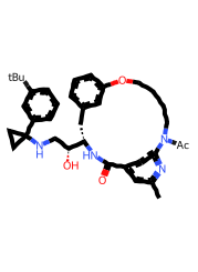 CC(=O)N1CCCCOc2cccc(c2)C[C@@H]([C@H](O)CNC2(c3cccc(C(C)(C)C)c3)CC2)NC(=O)c2cc(C)nc1c2